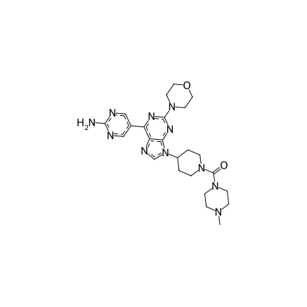 CN1CCN(C(=O)N2CCC(n3cnc4c(-c5cnc(N)nc5)nc(N5CCOCC5)nc43)CC2)CC1